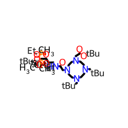 CCOP(C)(=O)C(CCCNC(=O)CN1CCN(CC(=O)OC(C)(C)C)CCN(CC(C)(C)C)CCN(CC(C)(C)C)CC1)(O[Si](C)(C)C(C)(C)C)P(C)(=O)OCC